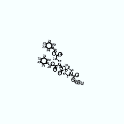 CC(C)(C)OC(=O)N1CCC2(CC1)CN([C@@H](CCC(=O)OCc1ccccc1)C(=O)OCc1ccccc1)C2=O